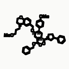 COCCCN1CCOc2ccc(CO[C@H]3CN(C(=O)OCc4ccccc4)[C@@H](C(=O)N4CCC(c5ccccc5)C4)C[C@@H]3c3ccc(OC)cc3)cc21